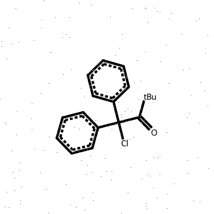 CC(C)(C)C(=O)C(Cl)(c1ccccc1)c1ccccc1